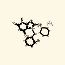 Cn1c(=O)[nH]c(=O)c2c1nc(N[C@H]1CCCC[C@H]1N)n2Cc1ccccc1Br